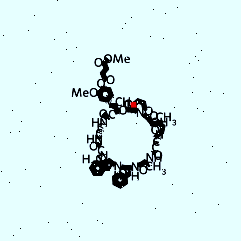 COC(=O)CCC(=O)O[C@@H]1CC[C@H](C[C@@H](C)[C@H]2CC(=O)NCCNC(=O)CN(C)C(=O)[C@H](Cc3ccccc3)NC(=O)[C@H](Cc3ccccc3)NC(=O)[C@H](C)NC(=O)CC[C@H]3CC[C@@H](C)[C@@](O)(O3)C(=O)C(=O)N3CCCC[C@H]3C(=O)O2)C[C@H]1OC